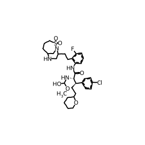 COC(O)N[C@H](C(=O)Nc1cccc(F)c1CCC1CNC2CCCS(=O)(=O)N1C2)[C@H](CCC1CCCCO1)c1ccc(Cl)cc1